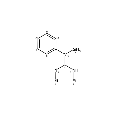 CCNC(NCC)N([SiH3])c1ccccc1